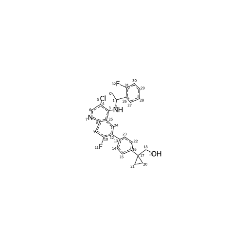 CC(Nc1c(Cl)cnc2cc(F)c(-c3ccc(C4(CO)CC4)cc3)cc12)c1ccccc1F